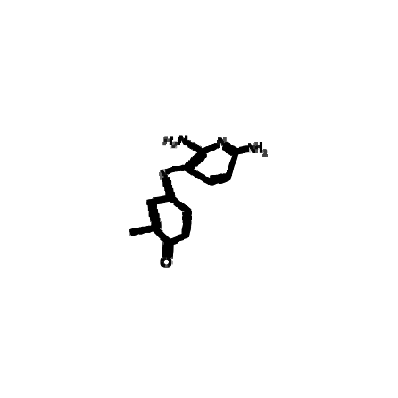 CC1=CC(=Nc2ccc(N)nc2N)C=CC1=O